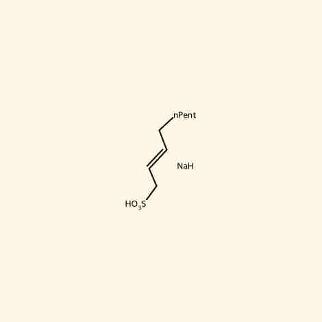 CCCCCC/C=C/CS(=O)(=O)O.[NaH]